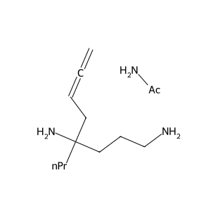 C=C=CCC(N)(CCC)CCCN.CC(N)=O